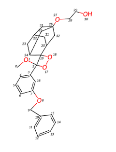 COC1(c2cccc(OCc3ccccc3)c2)OOC12C1CC3CC2CC(OCCO)(C3)C1